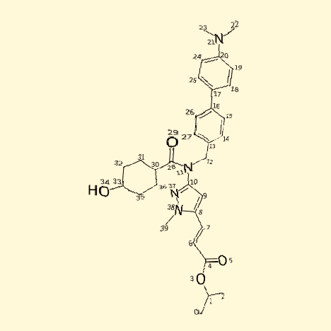 CC(C)OC(=O)/C=C/c1cc(N(Cc2ccc(-c3ccc(N(C)C)cc3)cc2)C(=O)C2CCC(O)CC2)nn1C